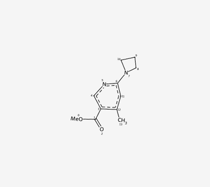 COC(=O)c1cnc(N2CCC2)cc1C